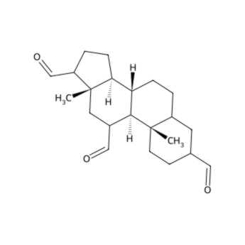 C[C@]12CCC(C=O)CC1CC[C@@H]1[C@@H]2C(C=O)C[C@]2(C)C(C=O)CC[C@@H]12